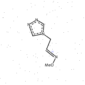 CO/N=C/Cn1[c]nnc1